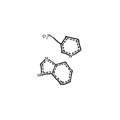 O=[N+]([O-])c1cccnc1.c1ccc2[nH]cnc2c1